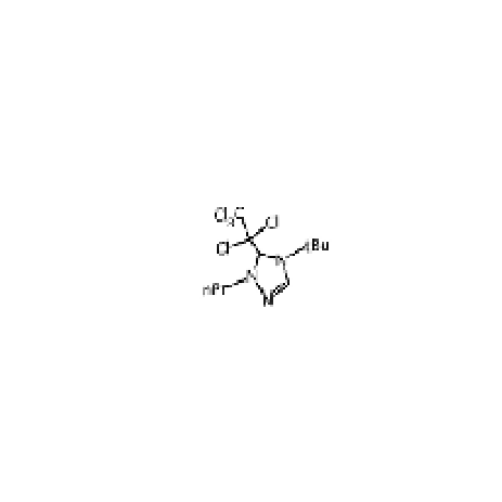 CCCN1N=CN(C(C)(C)C)C1C(Cl)(Cl)C(Cl)(Cl)Cl